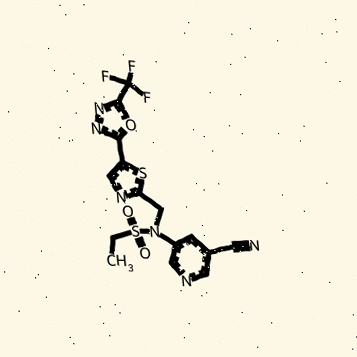 CCS(=O)(=O)N(Cc1ncc(-c2nnc(C(F)(F)F)o2)s1)c1cncc(C#N)c1